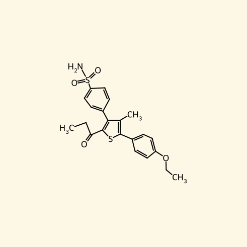 CCOc1ccc(-c2sc(C(=O)CC)c(-c3ccc(S(N)(=O)=O)cc3)c2C)cc1